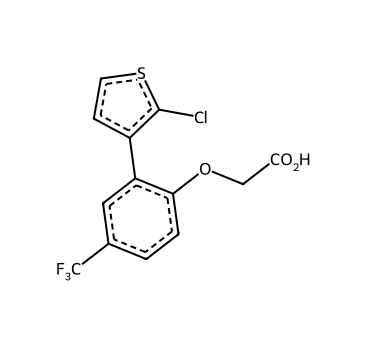 O=C(O)COc1ccc(C(F)(F)F)cc1-c1ccsc1Cl